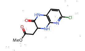 COC(=O)CC1Nc2nc(Cl)ccc2NC1=O